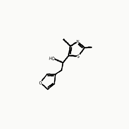 Cc1nc(C)c(C(O)Cc2ccoc2)s1